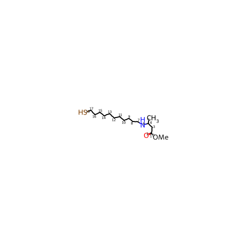 COC(=O)CC(C)NCCCCCCCCCCCS